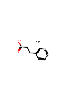 O=C([O-])CCc1ccccc1.[Na+]